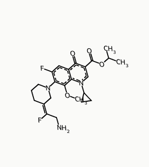 COc1c(N2CCC/C(=C(\F)CN)C2)c(F)cc2c(=O)c(C(=O)OC(C)C)cn(C3CC3)c12